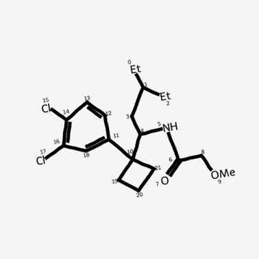 CCC(CC)CC(NC(=O)COC)C1(c2ccc(Cl)c(Cl)c2)CCC1